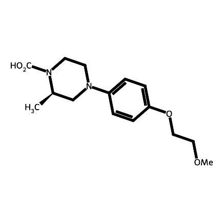 COCCOc1ccc(N2CCN(C(=O)O)[C@H](C)C2)cc1